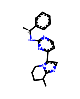 CC1CCCn2c(-c3ccnc(N[C@@H](C)c4ccccc4)n3)cnc21